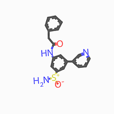 N[S+]([O-])c1cc(NC(=O)Cc2ccccc2)cc(-c2cccnc2)c1